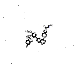 COc1ncc(-c2ccc3ncnc(N4CCC5(CC4)CN(C(=O)/C=C/C(C)=O)C5)c3c2)cc1NS(=O)(=O)c1ccc(F)cc1F